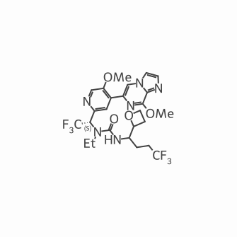 CCN(C(=O)NC(CCC(F)(F)F)C1CCO1)[C@@H](c1cc(-c2cn3ccnc3c(OC)n2)c(OC)cn1)C(F)(F)F